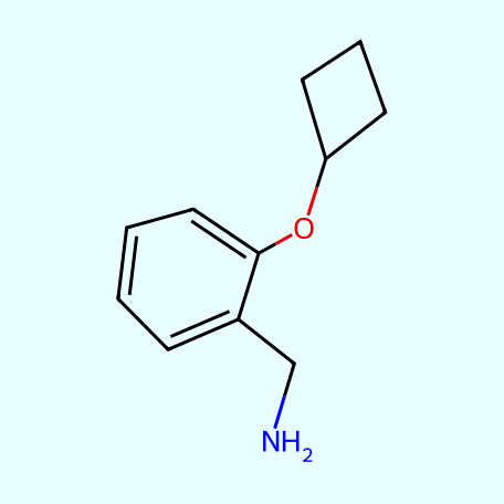 NCc1ccccc1OC1CCC1